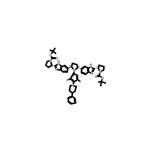 CC(C)(C)OC(=O)N1CCC[C@H]1c1nc2ccc([C@H]3CC[C@H](c4ccc5nc([C@@H]6CCCN6C(=O)OC(C)(C)C)[nH]c5c4)N3c3cc(F)c(N4CCC(c5ccccc5)CC4)c(F)c3)cc2[nH]1